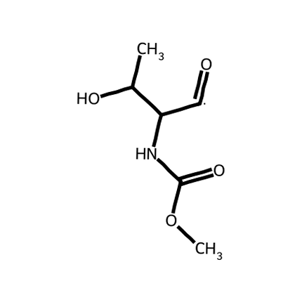 COC(=O)NC([C]=O)C(C)O